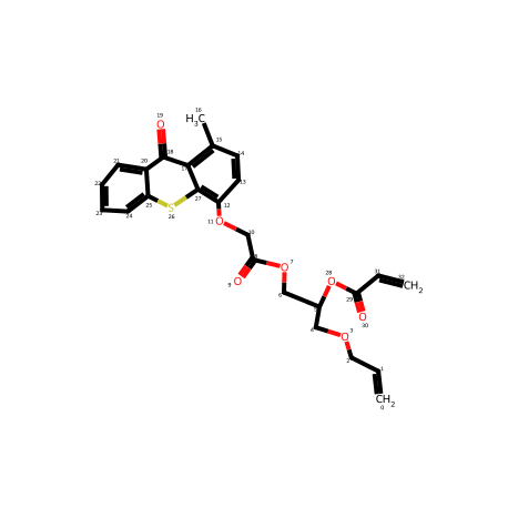 C=CCOCC(COC(=O)COc1ccc(C)c2c(=O)c3ccccc3sc12)OC(=O)C=C